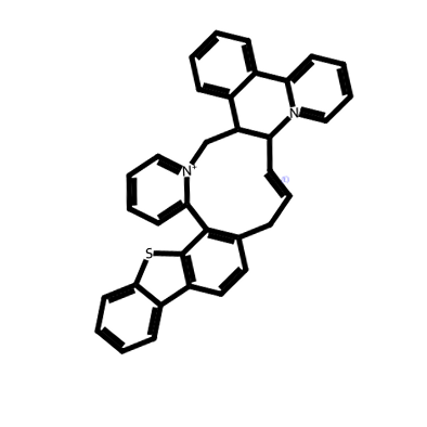 C1=C/C2C(C[n+]3ccccc3-c3c(ccc4c3sc3ccccc34)C/1)c1ccccc1-c1cccc[n+]12